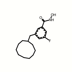 O=C(NO)c1cc(F)cc(CC2CCCCCCCCC2)c1